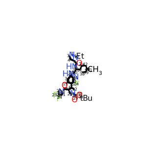 CCn1nccc1C(=O)N[C@H](c1nc2c(F)c(C3=C(C(=O)N4CC(F)(F)C4)CN(C(=O)OC(C)(C)C)C3)ccc2[nH]1)[C@H]1CC[C@H](C)CC1